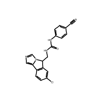 N#Cc1ccc(NC(=O)NCC2c3cc(Cl)ccc3-c3cncn32)cc1